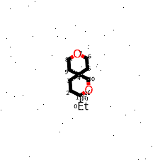 CC[C@@H]1CCC2(CCOCC2)CO1